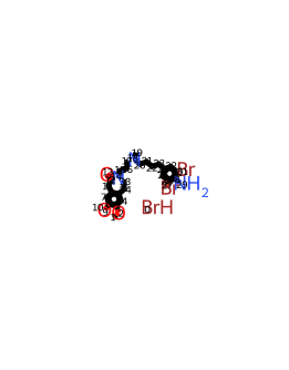 Br.COc1cc2c(cc1OC)CC(=O)N(CCCN(C)CCCCc1cc(Br)c(N)c(Br)c1)CC2